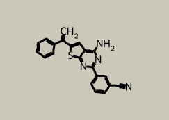 C=C(c1ccccc1)c1cc2c(N)nc(-c3cccc(C#N)c3)nc2s1